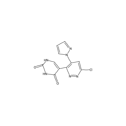 O=c1[nH]cc(-c2nnc(Cl)cc2-n2cccn2)c(=O)[nH]1